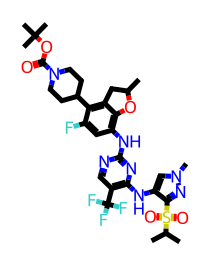 CC1Cc2c(c(Nc3ncc(C(F)(F)F)c(Nc4cn(C)nc4S(=O)(=O)C(C)C)n3)cc(F)c2C2CCN(C(=O)OC(C)(C)C)CC2)O1